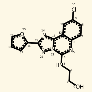 OCCNc1nc2ccc(Cl)cc2c2nc(-c3ccco3)nn12